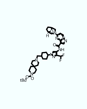 CC(C)(C)OC(=O)N1CCC2(CCN(CC3CCC(n4cc(NC(=O)c5cnn6ccc(N7CC8CC[C@H](C7)O8)nc56)c(C(F)F)n4)CC3)CC2)CC1